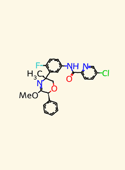 COC1=N[C@](C)(c2cc(NC(=O)c3ccc(Cl)cn3)ccc2F)CO[C@H]1c1ccccc1